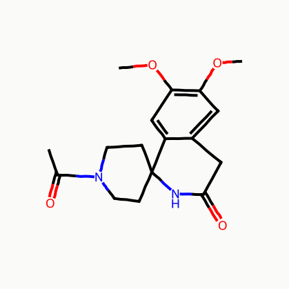 COc1cc2c(cc1OC)C1(CCN(C(C)=O)CC1)NC(=O)C2